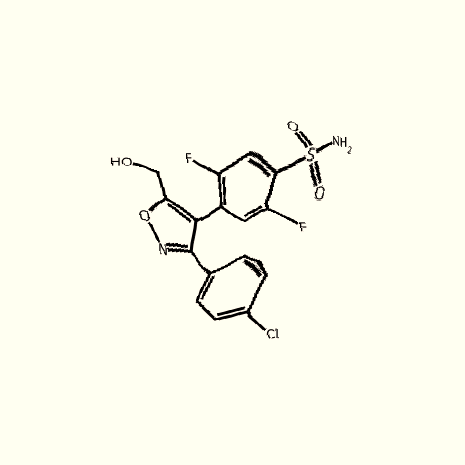 NS(=O)(=O)c1cc(F)c(-c2c(-c3ccc(Cl)cc3)noc2CO)cc1F